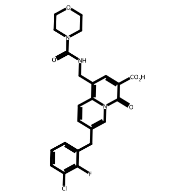 O=C(O)c1cc(CNC(=O)N2CCOCC2)c2ccc(Cc3cccc(Cl)c3F)cn2c1=O